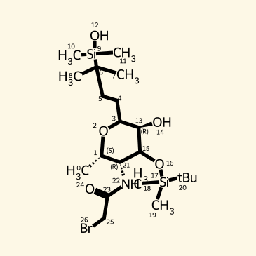 C[C@@H]1OC(CCC(C)(C)[Si](C)(C)O)[C@@H](O)C(O[Si](C)(C)C(C)(C)C)[C@@H]1NC(=O)CBr